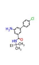 CCC(C)(C)NC(=O)c1cc(N)cc(-c2ccc(Cl)cc2)c1